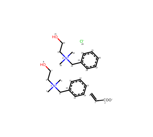 C=CC(=O)[O-].C[N+](C)(CCO)Cc1ccccc1.C[N+](C)(CCO)Cc1ccccc1.[Cl-]